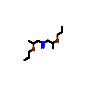 CCCSC(C)CNCC(C)SCCC